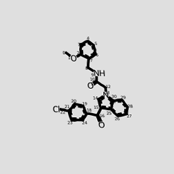 COc1ccccc1CNC(=O)Cn1cc(C(=O)c2ccc(Cl)cc2)c2ccccc21